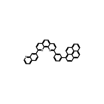 c1cc(-c2ccc3ccc4ccc(-c5ccc6cccnc6c5)nc4c3n2)cc(-c2ccc3ccc4cccc5ccc2c3c45)c1